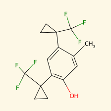 Cc1cc(O)c(C2(C(F)(F)F)CC2)cc1C1(C(F)(F)F)CC1